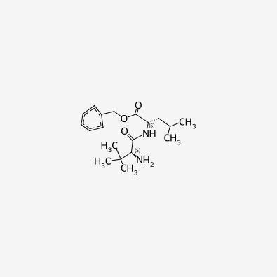 CC(C)C[C@H](NC(=O)[C@@H](N)C(C)(C)C)C(=O)OCc1ccccc1